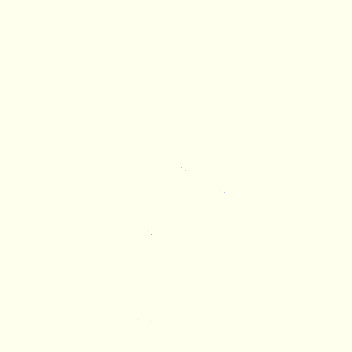 CCCCOC(=O)N1CC(COC)CC1c1nc2ccc3cc(Br)ccc3c2[nH]1